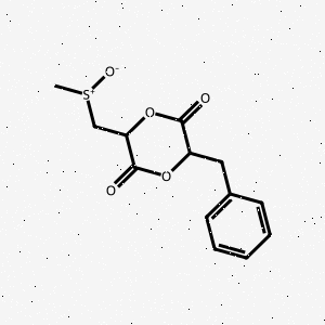 C[S+]([O-])CC1OC(=O)C(Cc2ccccc2)OC1=O